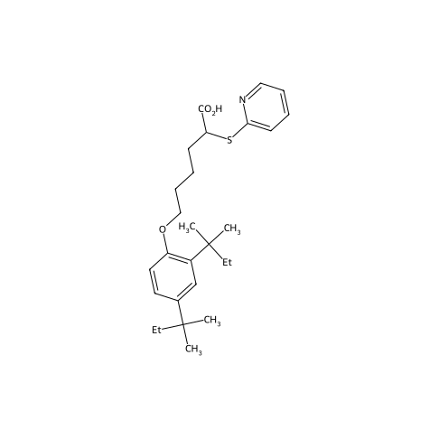 CCC(C)(C)c1ccc(OCCCCC(Sc2ccccn2)C(=O)O)c(C(C)(C)CC)c1